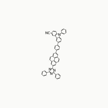 N#Cc1ccc2c(c1)c1cc(-c3ccc(-c4cc5ccc6cc(-c7nc(-c8ccccc8)nc(-c8ccccc8)n7)cc7ccc(c4)c5c67)cc3)ccc1n2-c1ccccc1